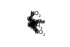 COc1ccccc1Oc1c(OCCOC(=O)OCCCCCO[N+](=O)[O-])nc(-c2ncccn2)nc1N(C(C)OC(=O)OCCOCCO[N+](=O)[O-])S(=O)(=O)c1ccc(C(C)(C)C)cc1